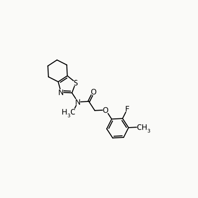 Cc1cccc(OCC(=O)N(C)c2nc3c(s2)CCCC3)c1F